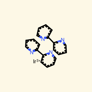 [Ir+3].c1ccc(-c2ccccn2)nc1.c1ccc(-c2ccccn2)nc1